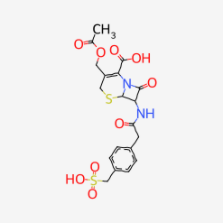 CC(=O)OCC1=C(C(=O)O)N2C(=O)C(NC(=O)Cc3ccc(CS(=O)(=O)O)cc3)C2SC1